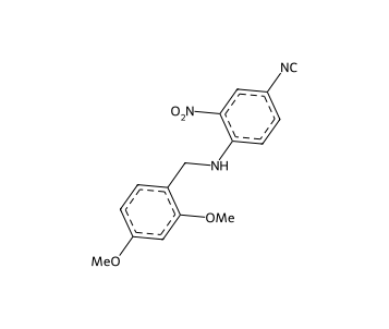 [C-]#[N+]c1ccc(NCc2ccc(OC)cc2OC)c([N+](=O)[O-])c1